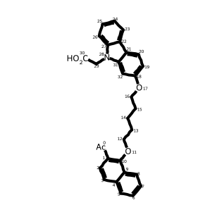 CC(=O)c1ccc2ccccc2c1OCCCCCOc1ccc2c3ccccc3n(CC(=O)O)c2c1